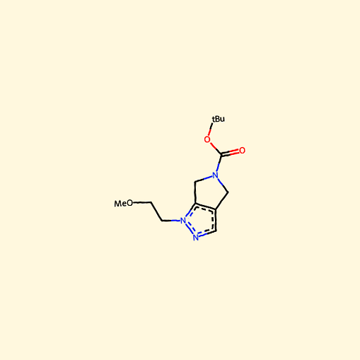 COCCn1ncc2c1CN(C(=O)OC(C)(C)C)C2